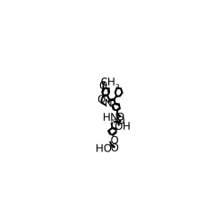 COc1ccc2c(c1)OCCn1c-2c(C2CCCCC2)c2ccc(C(=O)N[C@@H](Cc3ccc(OCC(=O)O)cc3)C(=O)O)cc21